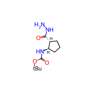 CC(C)(C)OC(=O)N[C@@H]1CCC[C@H]1C(=O)NN